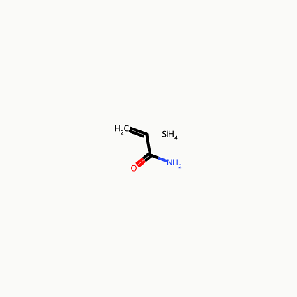 C=CC(N)=O.[SiH4]